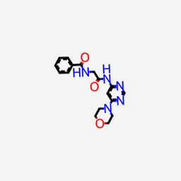 O=C(CNC(=O)c1ccccc1)Nc1cc(N2CCOCC2)ncn1